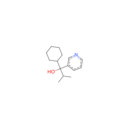 CC(C)C(O)(c1cccnc1)C1CCCCC1